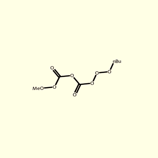 CCCCOOOC(=O)OC(=O)OOC